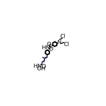 CC(/C=C/C(=O)NO)=C\c1ccc(NS(=O)(=O)c2ccc(N(CCCl)CCCl)cc2)cc1